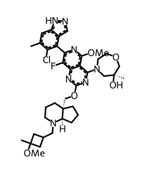 COc1nc(-c2c(Cl)c(C)cc3[nH]ncc23)c(F)c2nc(OC[C@]34CCC[C@H]3N(CC3CC(C)(OC)C3)CCC4)nc(N3CCOC[C@@](C)(O)C3)c12